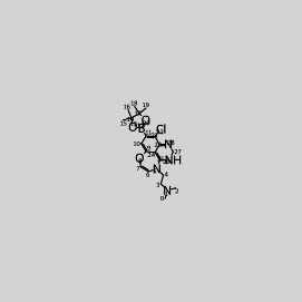 CN(C)CCN1C=COc2cc(B3OC(C)(C)C(C)(C)O3)c(Cl)c3c2=C1NCN=3